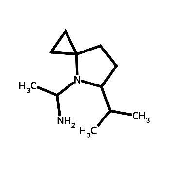 CC(C)C1CCC2(CC2)N1C(C)N